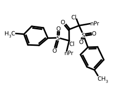 CCCC(Cl)(C(=O)C(Cl)(CCC)S(=O)(=O)c1ccc(C)cc1)S(=O)(=O)c1ccc(C)cc1